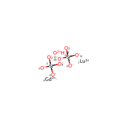 [Gd+3].[Lu+3].[O-][Si]([O-])([O-])[O-].[O-][Si]([O-])([O-])[O-].[OH4+2]